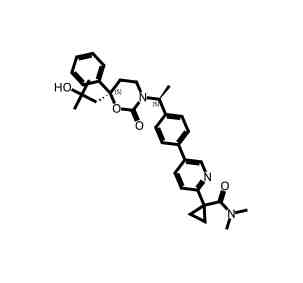 C[C@@H](c1ccc(-c2ccc(C3(C(=O)N(C)C)CC3)nc2)cc1)N1CC[C@](CC(C)(C)O)(c2ccccc2)OC1=O